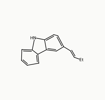 CCC=Cc1ccc2[nH]c3ccccc3c2c1